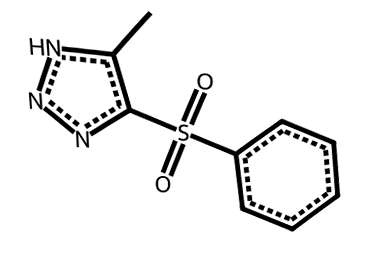 Cc1[nH]nnc1S(=O)(=O)c1ccccc1